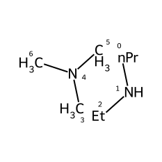 CCCNCC.CN(C)C